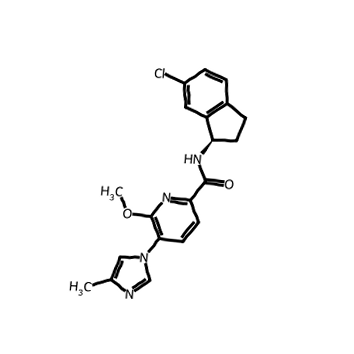 COc1nc(C(=O)N[C@@H]2CCc3ccc(Cl)cc32)ccc1-n1cnc(C)c1